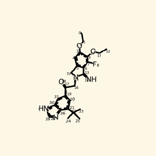 CCOc1cc2c(c(F)c1OCC)C(=N)N(CC(=O)c1cc(C(C)(C)C)c3nc[nH]c3c1)C2